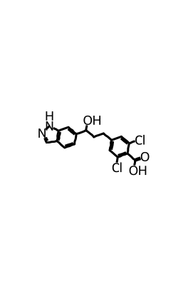 O=C(O)c1c(Cl)cc(CCC(O)c2ccc3cn[nH]c3c2)cc1Cl